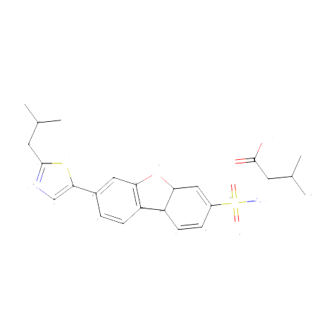 CC(C)Cc1ncc(-c2ccc3c(c2)OC2C=C(S(=O)(=O)N[C@H](C(=O)O)C(C)C)C=CC32)s1